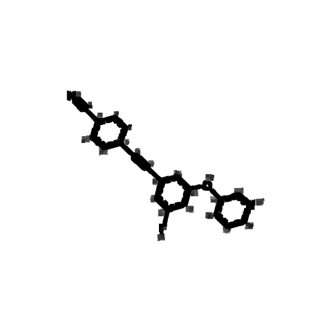 N#Cc1ccc(C#Cc2cc(F)cc(Oc3cccnc3)c2)cc1